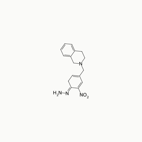 NN=C1CC=C(CN2CCc3ccccc3C2)C=C1[N+](=O)[O-]